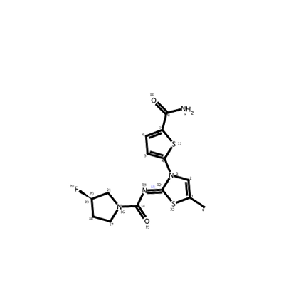 Cc1cn(-c2ccc(C(N)=O)s2)/c(=N/C(=O)N2CC[C@@H](F)C2)s1